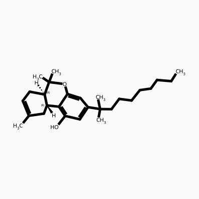 CCCCCCCCC(C)(C)c1cc(O)c2c(c1)OC(C)(C)[C@@H]1CC=C(C)C[C@@H]21